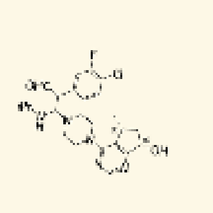 CC(C)NC(C(C=O)c1ccc(Cl)c(F)c1)N1CCN(c2ncnc3c2[C@H](C)C[C@@H]3O)CC1